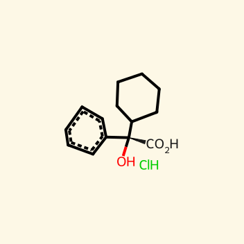 Cl.O=C(O)[C@@](O)(c1ccccc1)C1CCCCC1